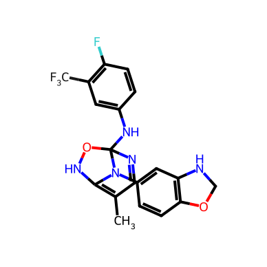 CC1=C2NOC(Nc3ccc(F)c(C(F)(F)F)c3)(N=C1)N2c1ccc2c(c1)NCO2